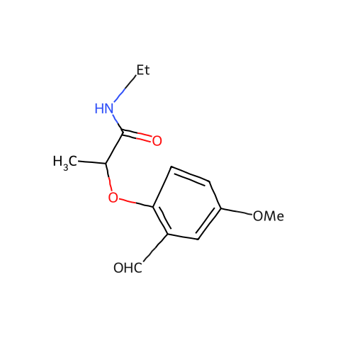 CCNC(=O)C(C)Oc1ccc(OC)cc1C=O